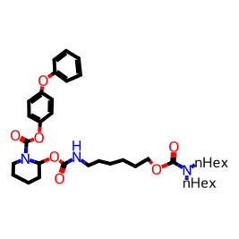 CCCCCCN(CCCCCC)C(=O)OCCCCCCNC(=O)OC1CCCCN1C(=O)Oc1ccc(Oc2ccccc2)cc1